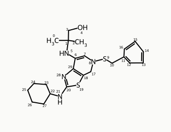 CC(C)(CO)NC1=CN(SCc2ccccc2)Cc2sc(NC3CCCCC3)nc21